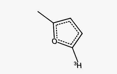 [3H]c1ccc(C)o1